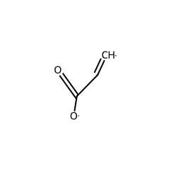 [CH]=CC([O])=O